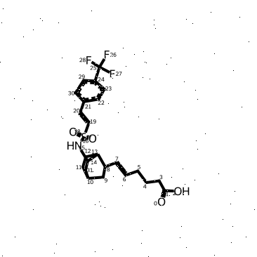 O=C(O)CCC/C=C/C1CC2CCC1C(NS(=O)(=O)/C=C/c1ccc(C(F)(F)F)cc1)C2